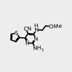 COCCNc1nc(N)nc(-c2cccs2)c1C#N